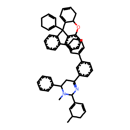 CC1C=C(C2N=C(c3cccc(C4=CCCC(c5ccccc5C5(C6=CCCC=C6)C6=CC=CCC6Oc6ccccc65)=C4)c3)CC(c3ccccc3)N2C)C=CC1